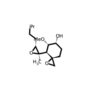 CO[C@@H]1[C@H](O)CC[C@]2(CO2)[C@H]1[C@@]1(C)O[C@@H]1CCC(C)C